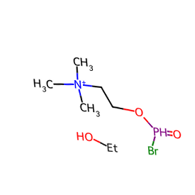 CCO.C[N+](C)(C)CCO[PH](=O)Br